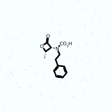 C[C@@H]1OC(=O)[C@@H]1N(CCc1ccccc1)C(=O)O